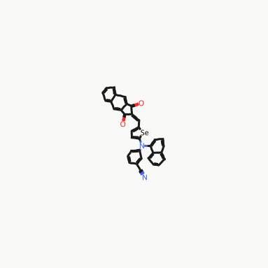 N#Cc1cccc(N(c2ccc(C=C3C(=O)c4cc5ccccc5cc4C3=O)[se]2)c2cccc3ccccc23)c1